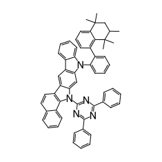 CC1CC(C)(C)c2cccc(-c3ccccc3-n3c4ccccc4c4cc5c6ccc7ccccc7c6n(-c6nc(-c7ccccc7)nc(-c7ccccc7)n6)c5cc43)c2C1(C)C